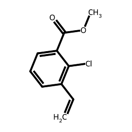 C=Cc1cccc(C(=O)OC)c1Cl